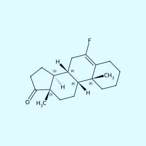 C[C@]12CCCCC1=C(F)C[C@@H]1[C@H]2CC[C@]2(C)C(=O)CC[C@@H]12